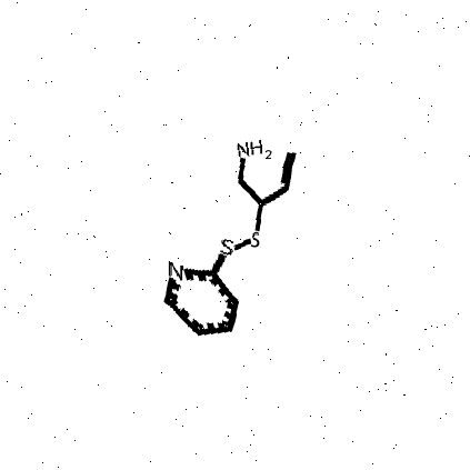 C=CC(CN)SSc1ccccn1